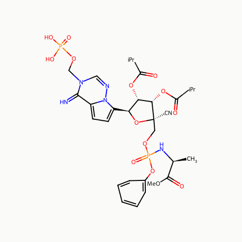 COC(=O)[C@H](C)NP(=O)(OC[C@@]1(C#N)O[C@@H](c2ccc3c(=N)n(COP(=O)(O)O)cnn23)[C@H](OC(=O)C(C)C)[C@@H]1OC(=O)C(C)C)Oc1ccccc1